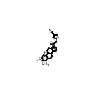 C[C@@]1(O)CC[C@@]2(C)C(CC[C@H]3[C@@H]4CC[C@H](C(=O)Cn5cc(C#N)cn5)[C@@]4(C)CC[C@@H]32)C1